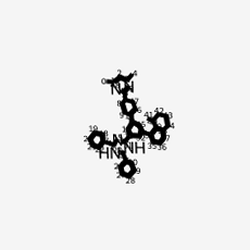 Cc1cc(C)nc(C2C=CC(c3cc(C4=NC(c5ccccc5)NC(c5ccccc5)N4)cc(-c4cccc5c4C(C)CC=C5)c3)=CC2)n1